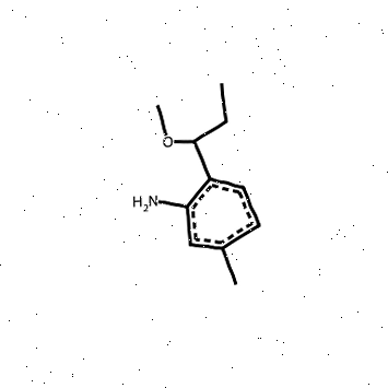 CCC(OC)c1ccc(C)cc1N